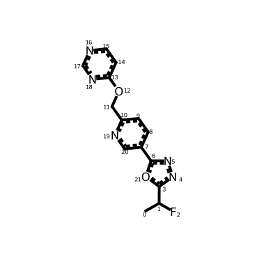 CC(F)c1nnc(-c2ccc(COc3ccncn3)nc2)o1